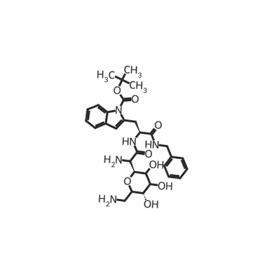 CC(C)(C)OC(=O)n1c(C[C@H](NC(=O)C(N)[C@@H]2OC(CN)[C@@H](O)C(O)C2O)C(=O)NCc2ccccc2)cc2ccccc21